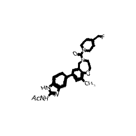 CC(=O)Nc1nc2cc(-c3cc(C)c4c(c3)CN(C(=O)N3CCC(CF)CC3)CCO4)ccc2[nH]1